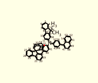 CC1(C)c2ccccc2-c2ccc(N(c3ccc(-c4cccc5c4C4(c6ccccc6-5)C5CC6CC(C5)CC4C6)cc3)c3ccc(-c4cccc5ccccc45)cc3)cc21